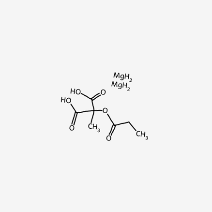 CCC(=O)OC(C)(C(=O)O)C(=O)O.[MgH2].[MgH2]